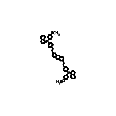 COc1ccc(N(c2ccc(C=Cc3ccc4cc5cc(C=Cc6ccc(N(c7ccc(OC)cc7)c7cccc8ccccc78)cc6)ccc5cc4c3)cc2)c2cccc3ccccc23)cc1